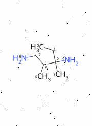 CCC(C)(N)C(C)CN